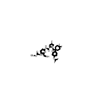 CC(C)(C)OC(=O)Nc1ccc(NC(=O)[C@H]2C[C@@H](F)CN2C(=O)C2(c3ccc(OC(F)F)cc3)CCC(F)(F)CC2)nc1C=N